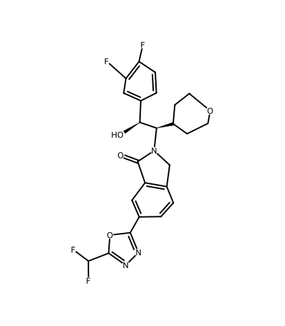 O=C1c2cc(-c3nnc(C(F)F)o3)ccc2CN1[C@H](C1CCOCC1)[C@@H](O)c1ccc(F)c(F)c1